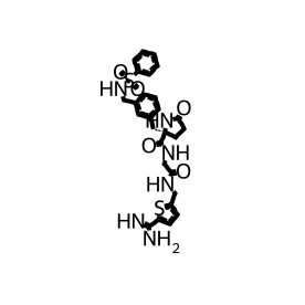 N=C(N)c1ccc(CNC(=O)CNC(=O)[C@]2(Cc3cccc(CNS(=O)(=O)c4ccccc4)c3)CCC(=O)N2)s1